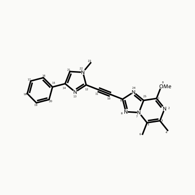 COc1nc(C)c(C)n2nc(C#Cc3nc(-c4ccccc4)cn3C)nc12